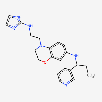 O=C(O)CC(Nc1ccc2c(c1)OCCN2CCNc1ncc[nH]1)c1cccnc1